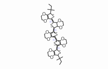 CCC(C)(C)C1S/C(=C2/S/C(=c3/s/c(=c4/s/c(=C5/SC(C(C)(C)CC)C6=C5OCCO6)c5c4OCCO5)c4c3OCCO4)C3OCCOC23)C2=C1OCCO2